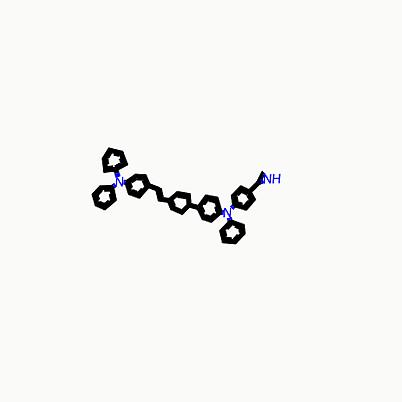 C1=CC(c2ccc(N(c3ccccc3)c3ccc(C4CN4)cc3)cc2)CC=C1/C=C/c1ccc(N(c2ccccc2)c2ccccc2)cc1